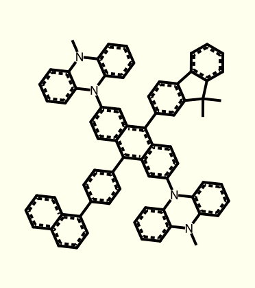 CN1c2ccccc2N(c2ccc3c(-c4ccc5c(c4)C(C)(C)c4ccccc4-5)c4cc(N5c6ccccc6N(C)c6ccccc65)ccc4c(-c4ccc(-c5cccc6ccccc56)cc4)c3c2)c2ccccc21